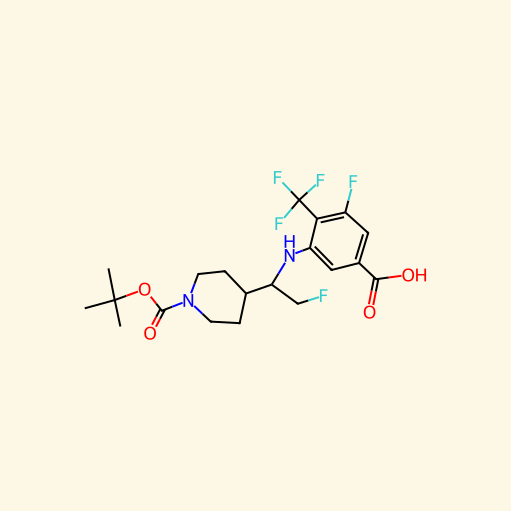 CC(C)(C)OC(=O)N1CCC(C(CF)Nc2cc(C(=O)O)cc(F)c2C(F)(F)F)CC1